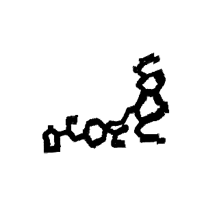 COc1ccc2ncc(CN)c(CCCC3(C(=O)O)CCN(CC(S)c4cccs4)CC3)c2c1